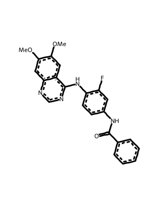 COc1cc2ncnc(Nc3ccc(NC(=O)c4ccccc4)cc3F)c2cc1OC